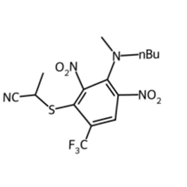 CCCCN(C)c1c([N+](=O)[O-])cc(C(F)(F)F)c(SC(C)C#N)c1[N+](=O)[O-]